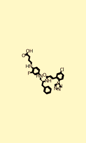 O=C(O)CCCNc1ccc(NC[C@H](Cc2ccccc2)NC(=O)/C=C/c2cc(Cl)ccc2-n2cnnn2)cc1F